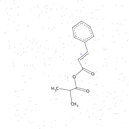 CC(C)C(=O)OC(=O)/C=C/c1ccccc1